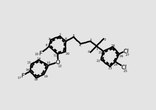 CC(C)(CCCc1ccc(F)c(Oc2ccc(F)cc2)c1)c1ccc(Cl)c(Cl)c1